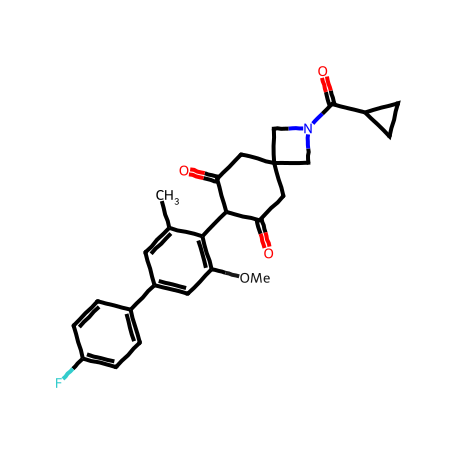 COc1cc(-c2ccc(F)cc2)cc(C)c1C1C(=O)CC2(CC1=O)CN(C(=O)C1CC1)C2